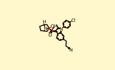 Cc1c(C(=O)CN2C3CC[C@@H]2C[C@](O)(C(C)(C)C)C3)c2ccc(CCC#N)cc2n1-c1ccc(Cl)cc1